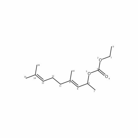 CCOC(=O)OC(C)/C=C(\C)CCC=C(C)C